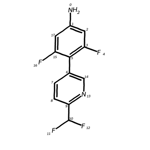 Nc1cc(F)c(-c2ccc(C(F)F)nc2)c(F)c1